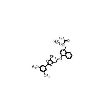 CO[C@@H](Cc1ccc(OCCc2nc(-c3cc(C)cc(C)c3)oc2C)c2ccccc12)C(=O)O